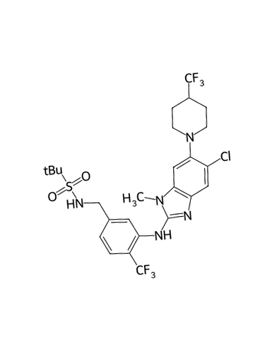 Cn1c(Nc2cc(CNS(=O)(=O)C(C)(C)C)ccc2C(F)(F)F)nc2cc(Cl)c(N3CCC(C(F)(F)F)CC3)cc21